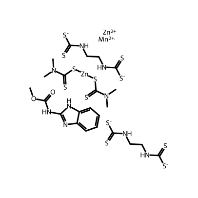 CN(C)C(=S)[S][Zn][S]C(=S)N(C)C.COC(=O)Nc1nc2ccccc2[nH]1.S=C([S-])NCCNC(=S)[S-].S=C([S-])NCCNC(=S)[S-].[Mn+2].[Zn+2]